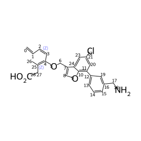 C=C/C=C\C(OCc1coc2c(-c3cccc(CN)c3)cc(Cl)cc12)=C(/C)CC(=O)O